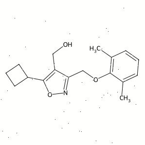 Cc1cccc(C)c1OCc1noc(C2CCC2)c1CO